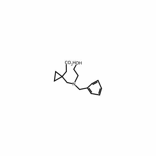 O=C(O)CC1(CN(CCO)Cc2ccccc2)CC1